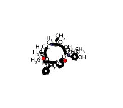 C=CC[C@@H]1/C=C(\C)C[C@H](C)C[C@H](OC)[C@H]2OC(NCc3ccccc3)(C(=O)C(=O)N3CCCC[C@H]3C(=O)O[C@H](/C(C)=C/[C@@H]3CC[C@@H](O)[C@H](OC)C3)[C@H](C)[C@@H](O)CC1=O)[C@H](C)C[C@@H]2OC